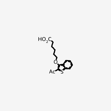 CC(=O)c1sc2ccccc2c1OCCCCCC(=O)O